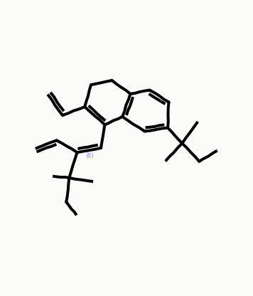 C=CC1=C(/C=C(\C=C)C(C)(C)CC)c2cc(C(C)(C)CC)ccc2CC1